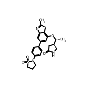 Cc1nc2cc(-c3ccc(N4CCCS4(=O)=O)cc3)cc(O[C@H](C)[C@H]3CNC(=O)C3)c2s1